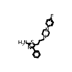 Nc1nc(-c2ccccc2)c(CCCN2CCN(c3ccc(F)cc3)CC2)s1